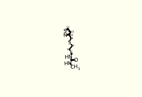 CNC(=O)NSCCSCc1ccsn1